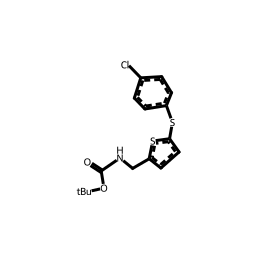 CC(C)(C)OC(=O)NCc1ccc(Sc2ccc(Cl)cc2)s1